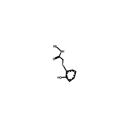 O=C(CSc1ccccc1O)NS